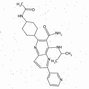 CC(=O)NC1CCC(c2nc3ccc(-c4cccnc4)nc3c(NC(C)C)c2C(N)=O)CC1